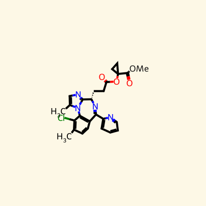 COC(=O)C1(OC(=O)CC[C@@H]2N=C(c3ccccn3)c3ccc(C)c(Cl)c3-n3c(C)cnc32)CC1